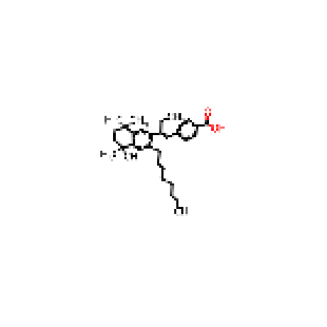 CCCCCCCCc1cc2c(cc1C(=Cc1ccc(C(=O)O)cc1)CC)C(C)(C)CCC2(C)C